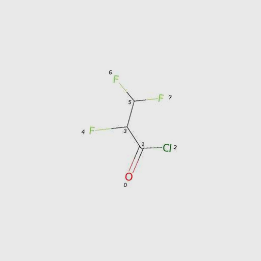 O=C(Cl)C(F)C(F)F